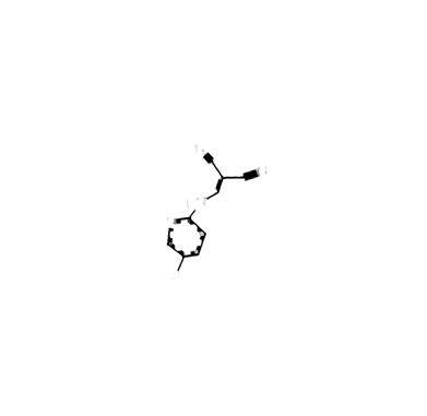 N#CC(C#N)=CNc1ccc(Br)cn1